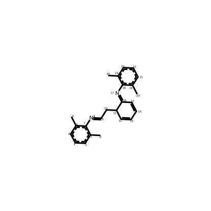 Cc1cccc(C)c1N=CCC1C=CC=CC1=Nc1c(C)cccc1C